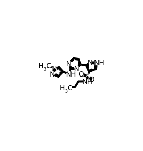 CCCNS(=O)(=O)c1c[nH]nc1-c1ccnc(Nc2cnn(C)c2)n1